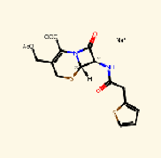 CC(=O)OCC1=C(C(=O)[O-])N2C(=O)[C@@H](NC(=O)Cc3cccs3)[C@@H]2SC1.[Na+]